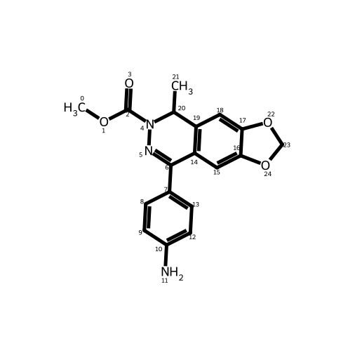 COC(=O)N1N=C(c2ccc(N)cc2)c2cc3c(cc2C1C)OCO3